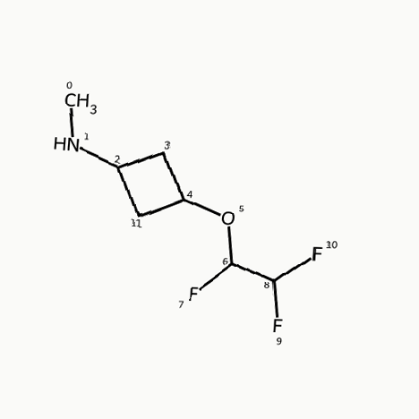 CNC1CC(OC(F)C(F)F)C1